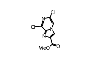 COC(=O)c1cn2cc(Cl)nc(Cl)c2n1